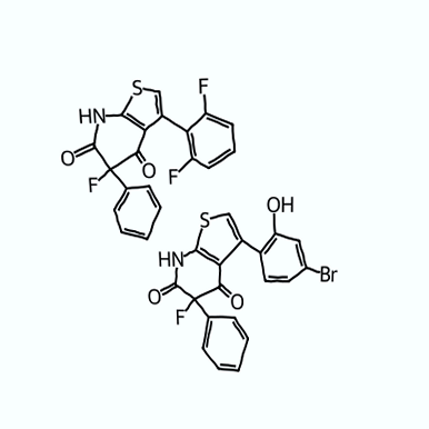 O=C1Nc2scc(-c3c(F)cccc3F)c2C(=O)C1(F)c1ccccc1.O=C1Nc2scc(-c3ccc(Br)cc3O)c2C(=O)C1(F)c1ccccc1